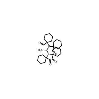 CC(P(C1(C=O)CCCCC1)C1(C=O)CCCCC1)P(C1(C=O)CCCCC1)C1(C=O)CCCCC1